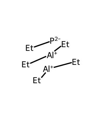 CC[P-2].C[CH2][Al+][CH2]C.C[CH2][Al+][CH2]C